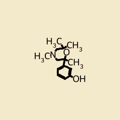 CN1CC(C)(C)OC(C)(c2cccc(O)c2)C1